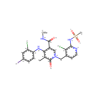 CCS(=O)(=O)Nc1nccc(Cn2cc(C(=O)NOC)c(Nc3ccc(I)cc3F)c(C)c2=O)c1F